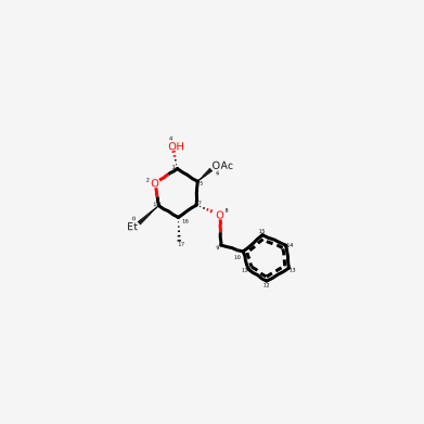 CC[C@H]1O[C@H](O)[C@@H](OC(C)=O)[C@H](OCc2ccccc2)[C@@H]1C